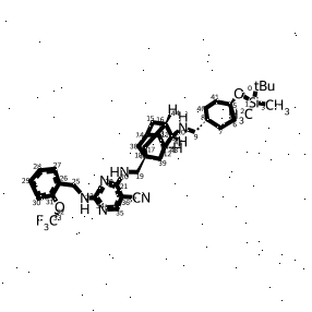 CC(C)(C)[Si](C)(C)O[C@H]1CC[C@H](CN[C@@H]2[C@@H]3CC4C[C@H]2C[C@@](CNc2nc(NCc5ccccc5OC(F)(F)F)ncc2C#N)(C4)C3)CC1